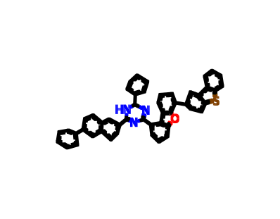 c1ccc(-c2ccc3cc(C4=NC(c5cccc6oc7c(-c8ccc9sc%10ccccc%10c9c8)cccc7c56)=NC(c5ccccc5)N4)ccc3c2)cc1